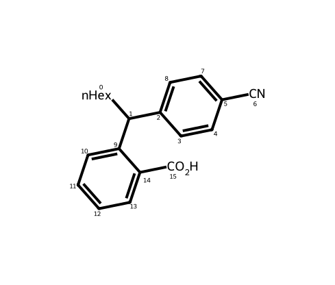 CCCCCCC(c1ccc(C#N)cc1)c1ccccc1C(=O)O